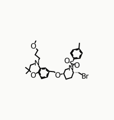 COCCCN1CC(C)(C)Oc2ccc(CO[C@@H]3CC[C@@H](CBr)N(S(=O)(=O)c4ccc(C)cc4)C3)cc21